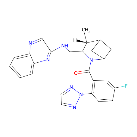 C[C@@H]1C2CC(C2)N(C(=O)c2cc(F)ccc2-n2nccn2)C1CNc1cnc2ccccc2n1